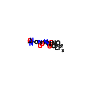 Cc1nc(-c2ccc(N3CC(CN4CCN(S(=O)(=O)c5ccc(C(F)(F)F)cc5[N+](=O)[O-])CC4)OC3=O)cc2)no1